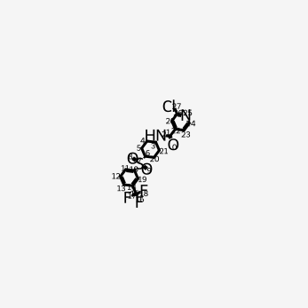 O=C(N[C@H]1CC[C@H](S(=O)(=O)c2cccc(C(F)(F)F)c2)CC1)c1ccnc(Cl)c1